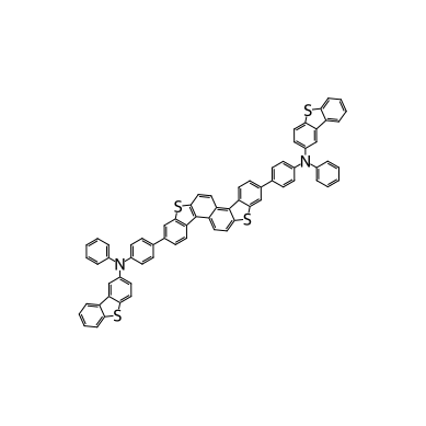 c1ccc(N(c2ccc(-c3ccc4c(c3)sc3ccc5c(ccc6sc7cc(-c8ccc(N(c9ccccc9)c9ccc%10sc%11ccccc%11c%10c9)cc8)ccc7c65)c34)cc2)c2ccc3sc4ccccc4c3c2)cc1